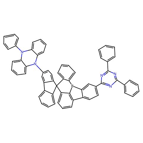 c1ccc(-c2nc(-c3ccccc3)nc(-c3ccc4c(c3)B3c5ccccc5C5(c6ccccc6-c6cc(N7c8ccccc8N(c8ccccc8)c8ccccc87)ccc65)c5cccc-4c53)n2)cc1